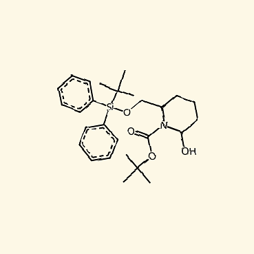 CC(C)(C)OC(=O)N1C(O)CCCC1CO[Si](c1ccccc1)(c1ccccc1)C(C)(C)C